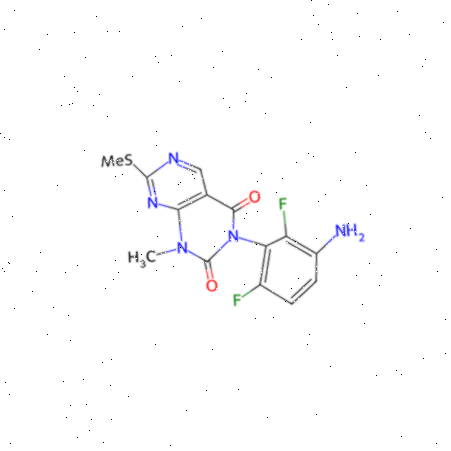 CSc1ncc2c(=O)n(-c3c(F)ccc(N)c3F)c(=O)n(C)c2n1